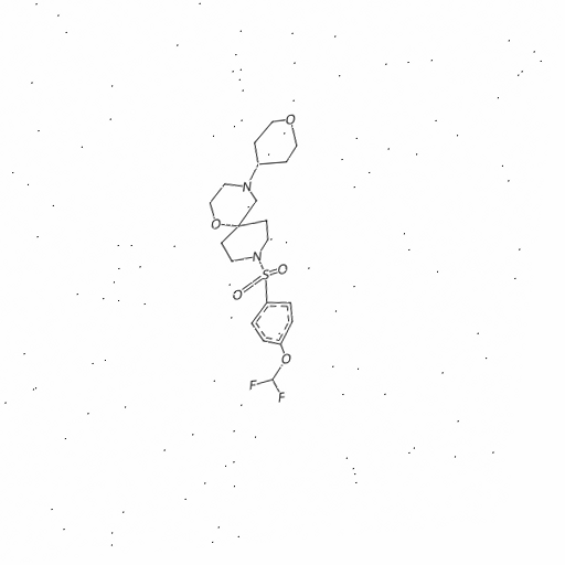 O=S(=O)(c1ccc(OC(F)F)cc1)N1CCC2(CC1)CN(C1CCOCC1)CCO2